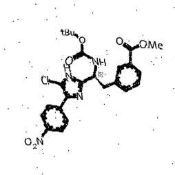 COC(=O)c1cccc(C[C@H](NC(=O)OC(C)(C)C)c2nc(-c3ccc([N+](=O)[O-])cc3)c(Cl)[nH]2)c1